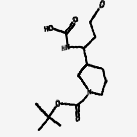 COCCC(NC(=O)O)C1CCCN(C(=O)OC(C)(C)C)C1